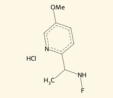 COc1ccc(C(C)NF)nc1.Cl